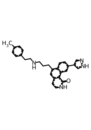 Cc1ccc(CCNCCCc2cc3cc[nH]c(=O)c3c3cc(-c4cn[nH]c4)ccc23)cc1